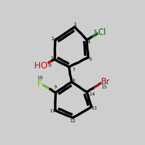 Oc1ccc(Cl)cc1-c1c(F)cccc1Br